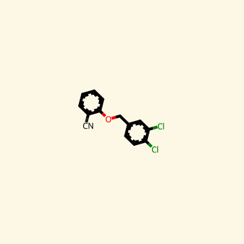 N#Cc1ccccc1OCc1ccc(Cl)c(Cl)c1